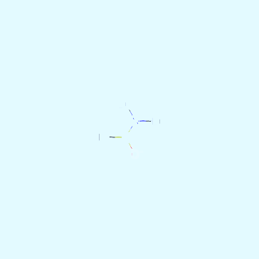 CCN(CC)[S+]([O-])C(C)C